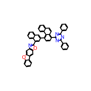 c1ccc(-c2nc(-c3ccccc3)nc(-c3ccc(-c4cc(-c5nc6cc7oc8ccccc8c7cc6o5)c5ccccc5c4)c4c3ccc3ccccc34)n2)cc1